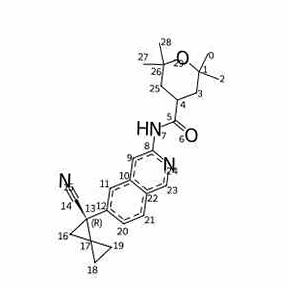 CC1(C)CC(C(=O)Nc2cc3cc([C@@]4(C#N)CC45CC5)ccc3cn2)CC(C)(C)O1